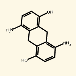 Nc1ccc(O)c2c1Cc1c(O)ccc(N)c1C2